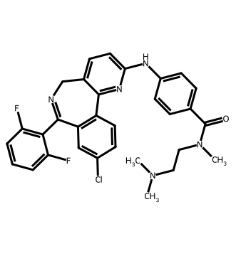 CN(C)CCN(C)C(=O)c1ccc(Nc2ccc3c(n2)-c2ccc(Cl)cc2C(c2c(F)cccc2F)=NC3)cc1